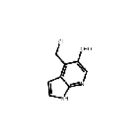 O=Cc1cnc2[nH]ccc2c1CCl